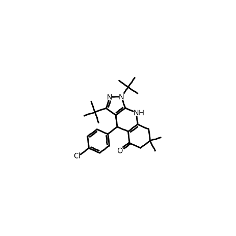 CC1(C)CC(=O)C2=C(C1)Nc1c(c(C(C)(C)C)nn1C(C)(C)C)C2c1ccc(Cl)cc1